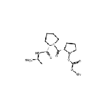 C[C@H](NC(=O)[C@@H]1CCCCN1C(=O)[C@@H]1CCCN1OC(=O)OC(C)(C)C)C(=O)O